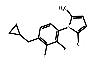 Cc1ccc(C)n1-c1ccc(CC2CC2)c(F)c1F